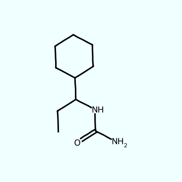 CCC(NC(N)=O)C1CCCCC1